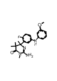 COc1cccc(Nc2ccc(F)c(C3(C)N=C(N)N(C)C(=O)C3(C)C)c2)c1